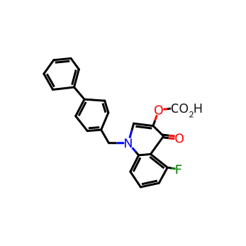 O=C(O)Oc1cn(Cc2ccc(-c3ccccc3)cc2)c2cccc(F)c2c1=O